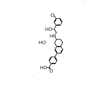 Cl.O=C(O)c1ccc(-c2ccc3c(c2)C[C@@H](NC[C@@H](O)c2cccc(Cl)c2)CC3)cc1